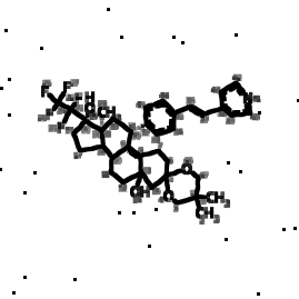 CC1(C)COC2(CCC3=C4C(CCC3(O)C2)C2CC[C@@](O)(C(F)(F)C(F)(F)F)[C@@]2(C)C[C@@H]4c2ccc(C=Cc3ccncc3)cc2)OC1